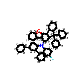 Fc1ccc(N(c2ccc(-c3ccccc3)cc2-c2ccccc2)c2cc3c(c4oc5ccccc5c24)-c2ccccc2C3(c2ccccc2)c2ccccc2)cc1